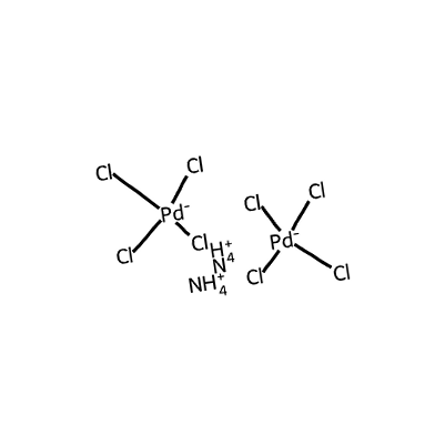 [Cl][Pd-]([Cl])([Cl])[Cl].[Cl][Pd-]([Cl])([Cl])[Cl].[NH4+].[NH4+]